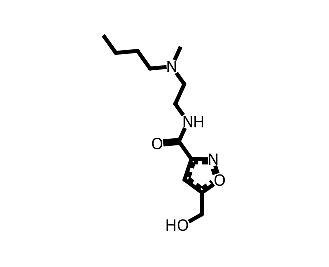 CCCCN(C)CCNC(=O)c1cc(CO)on1